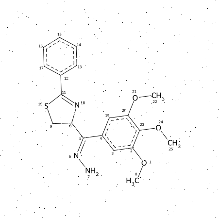 COc1cc(/C(=N\N)C2CSC(c3ccccc3)=N2)cc(OC)c1OC